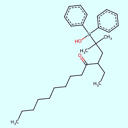 CCCCCCCCCC(=O)C(CC)CC(C)(C)[Si](O)(c1ccccc1)c1ccccc1